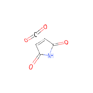 O=C1C=CC(=O)N1.O=C=O